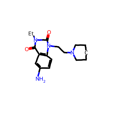 CCn1c(=O)c2cc(N)ccc2n(CCN2CCCCC2)c1=O